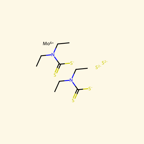 CCN(CC)C(=S)[S-].CCN(CC)C(=S)[S-].[Mo+6].[S-2].[S-2]